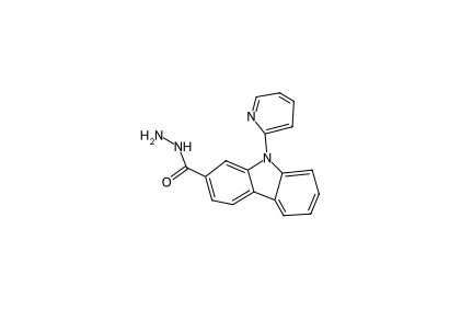 NNC(=O)c1ccc2c3ccccc3n(-c3ccccn3)c2c1